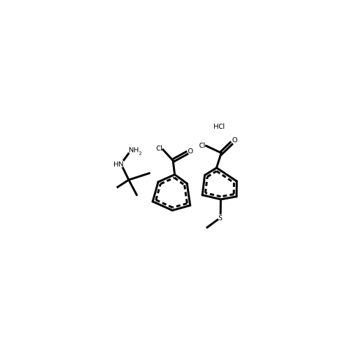 CC(C)(C)NN.CSc1ccc(C(=O)Cl)cc1.Cl.O=C(Cl)c1ccccc1